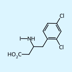 O=C(O)CC(Cc1ccc(Cl)cc1Cl)NI